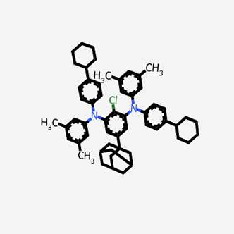 Cc1cc(C)cc(N(c2ccc(C3CCCCC3)cc2)c2cc(C34CC5CC(CC(C5)C3)C4)cc(N(c3ccc(C4CCCCC4)cc3)c3cc(C)cc(C)c3)c2Cl)c1